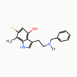 CCN(CCc1c[nH]c2c(C)c(F)cc(O)c12)Cc1ccccc1